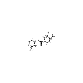 Brc1cccc(CNc2ccc3c(c2)CCC3)c1